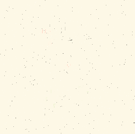 C[C@H](C(=O)O)[C@H](c1cccc(OC[C@H]2C[C@@H]2c2cc(C(F)(F)F)ccc2C(F)(F)F)c1)C1CC1